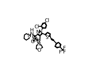 O=C(NN1CCCCC1)c1nn(-c2ccc(Cl)cc2Cl)c(-c2ccc(C#Cc3ccc(C(F)(F)F)cc3)s2)c1CN(N1CCOCC1)[SH](=O)=O